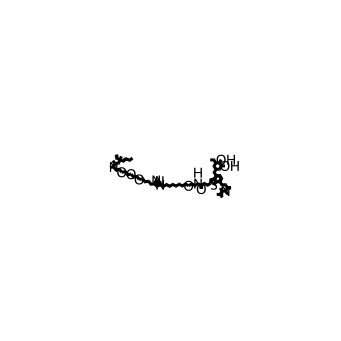 C=CC(C)(C=CCC)CC(C)N(C)CCOCCOCCOCCCCc1cn(CCCCCCCCOCCNC(=O)CCc2cc3c(CC4CC(O)C(O)C(CC)C4)ccc(CCC(=C)N(C)C(C)C(C)C)c3s2)nn1